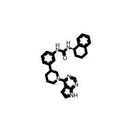 O=C(Nc1cccc(C2CCCN(c3ncnc4[nH]ccc34)C2)c1)N[C@@H]1CCCc2ccccc21